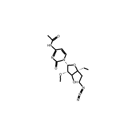 CC[C@@]1(CCN=[N+]=[N-])O[C@@H](n2ccc(NC(C)=O)nc2=O)[C@@H](OC)C1O